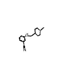 CN1CCC(COc2cccc(C#N)c2)CC1